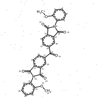 COc1ccccc1N1C(=O)c2ccc(C(=O)c3ccc4c(c3)C(=O)N(c3ccccc3OC)C4=O)cc2C1=O